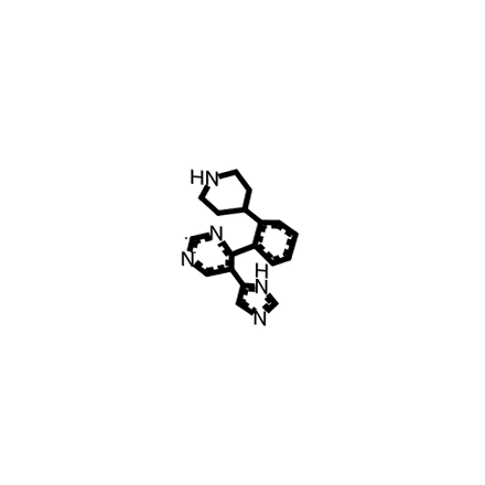 [c]1ncc(-c2cnc[nH]2)c(-c2ccccc2C2CCNCC2)n1